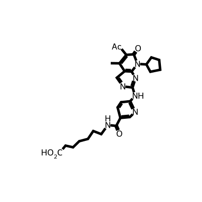 CC(=O)c1c(C)c2cnc(Nc3ccc(C(=O)NCCCCCCC(=O)O)cn3)nc2n(C2CCCC2)c1=O